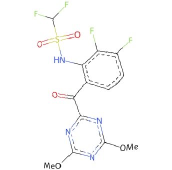 COc1nc(OC)nc(C(=O)c2ccc(F)c(F)c2NS(=O)(=O)C(F)F)n1